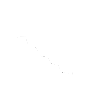 [CH]=CCCCCCCCC#N